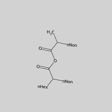 CCCCCCCCCC(C)C(=O)OC(=O)C(CCCCCC)CCCCCCCCC